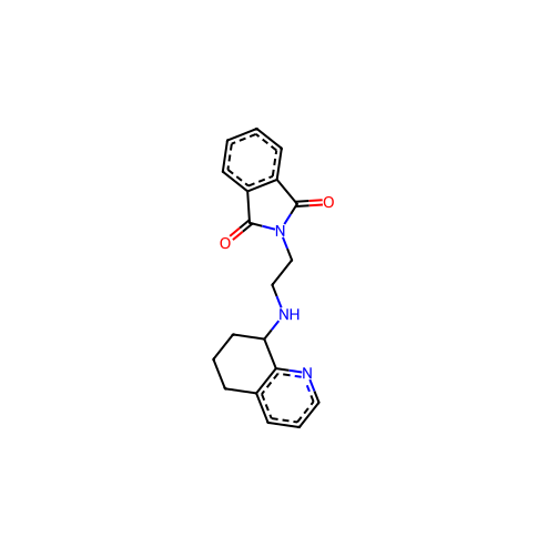 O=C1c2ccccc2C(=O)N1CCNC1CCCc2cccnc21